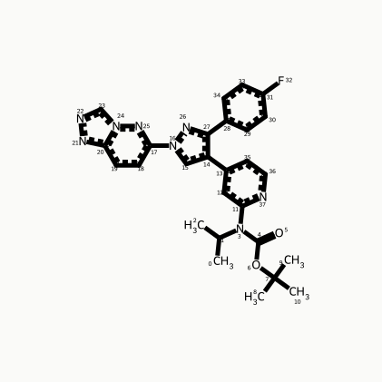 CC(C)N(C(=O)OC(C)(C)C)c1cc(-c2cn(-c3ccc4nncn4n3)nc2-c2ccc(F)cc2)ccn1